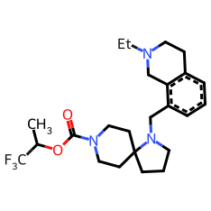 CCN1CCc2cccc(CN3CCCC34CCN(C(=O)OC(C)C(F)(F)F)CC4)c2C1